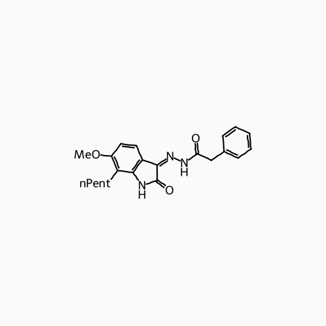 CCCCCc1c(OC)ccc2c1NC(=O)/C2=N\NC(=O)Cc1ccccc1